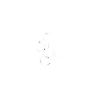 CO[C@@H]1C[C@H](OC(C)c2ccccc2)[C@H]2CO[C@@H]1O2